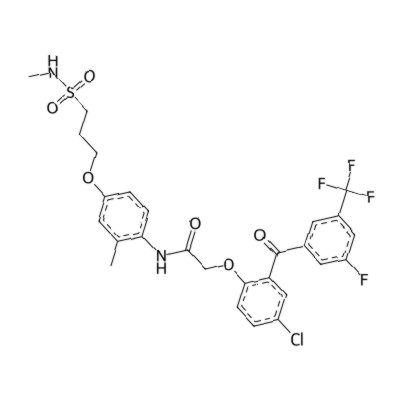 CNS(=O)(=O)CCCOc1ccc(NC(=O)COc2ccc(Cl)cc2C(=O)c2cc(F)cc(C(F)(F)F)c2)c(C)c1